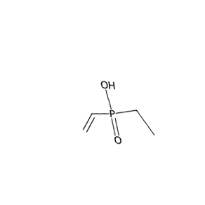 C=CP(=O)(O)CC